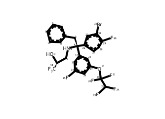 O[C@H](CN[C@@](Cc1ccccc1)(c1cc(F)cc(OC(F)(F)C(F)F)c1)c1ccc(F)c(Br)c1)C(F)(F)F